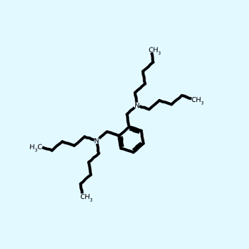 CCCCCN(CCCCC)Cc1ccccc1CN(CCCCC)CCCCC